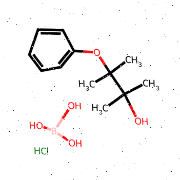 CC(C)(O)C(C)(C)Oc1ccccc1.Cl.OB(O)O